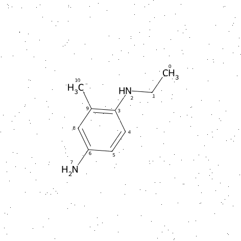 CCNc1ccc(N)cc1C